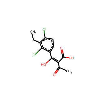 CCc1c(Cl)ccc(C(O)=C(C(C)=O)C(=O)O)c1Cl